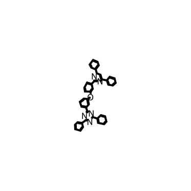 c1ccc(-c2cc(-c3ccccc3)nc(-c3cccc(Oc4cccc(-c5nc(-c6ccccc6)nc(-c6ccccc6)n5)c4)c3)n2)cc1